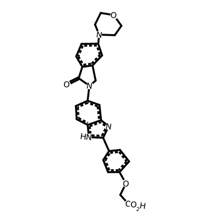 O=C(O)COc1ccc(-c2nc3cc(N4Cc5cc(N6CCOCC6)ccc5C4=O)ccc3[nH]2)cc1